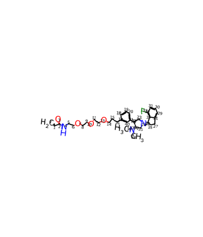 C=CC(=O)NCCOCCOCCOCCCc1cccc([C@H]2CN([C@H]3CCc4cccc(F)c43)C[C@@H]2N(C)C)c1